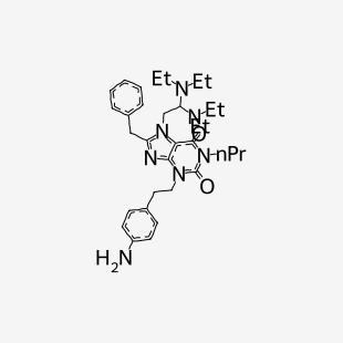 CCCn1c(=O)c2c(nc(Cc3ccccc3)n2CC(N(CC)CC)N(CC)CC)n(CCc2ccc(N)cc2)c1=O